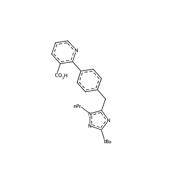 CCCn1nc(C(C)(C)C)nc1Cc1ccc(-c2ncccc2C(=O)O)cc1